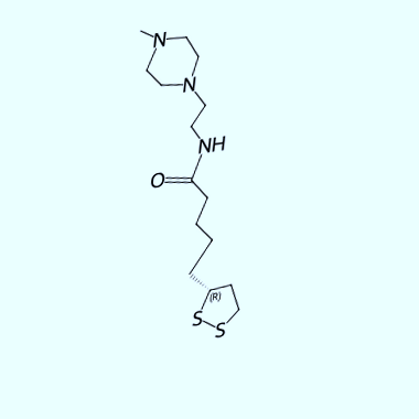 CN1CCN(CCNC(=O)CCCC[C@@H]2CCSS2)CC1